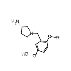 CCOc1ccc(Cl)cc1CN1CC[C@H](N)C1.Cl